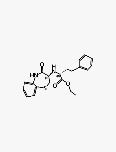 CCOC(=O)[C@@H](CCc1ccccc1)N[C@H]1CSc2ccccc2NC1=O